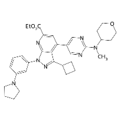 CCOC(=O)c1cc(-c2cnc(N(C)C3CCOCC3)nc2)c2c(C3CCC3)nn(-c3cccc(N4CCCC4)c3)c2n1